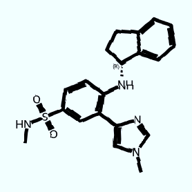 CNS(=O)(=O)c1ccc(N[C@@H]2CCc3ccccc32)c(-c2cn(C)cn2)c1